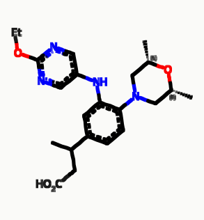 CCOc1ncc(Nc2cc(C(C)CC(=O)O)ccc2N2C[C@@H](C)O[C@@H](C)C2)cn1